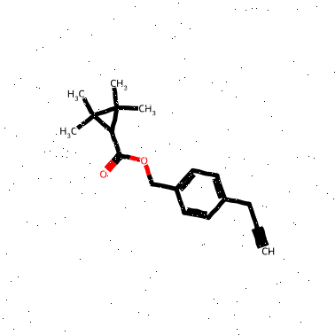 C#CCc1ccc(COC(=O)C2C(C)(C)C2(C)C)cc1